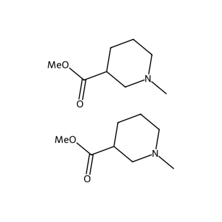 COC(=O)C1CCCN(C)C1.COC(=O)C1CCCN(C)C1